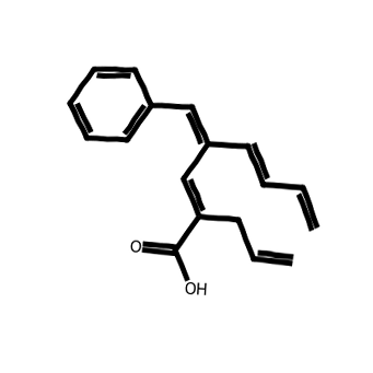 C=CC=CC(=Cc1ccccc1)C=C(CC=C)C(=O)O